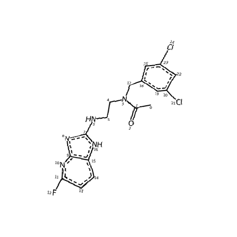 CC(=O)N(CCNc1nc2nc(F)ccc2[nH]1)Cc1cc(Cl)cc(Cl)c1